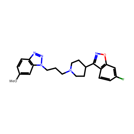 COc1ccc2nnn(CCCN3CCC(c4noc5cc(F)ccc45)CC3)c2c1